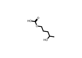 CC(O)CCCOC(=O)O